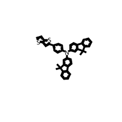 CC1(C)c2ccccc2-c2ccc(N(c3ccc(-c4cc5sccc5s4)cc3)c3ccc4c(c3)C(C)(C)c3ccccc3-4)cc21